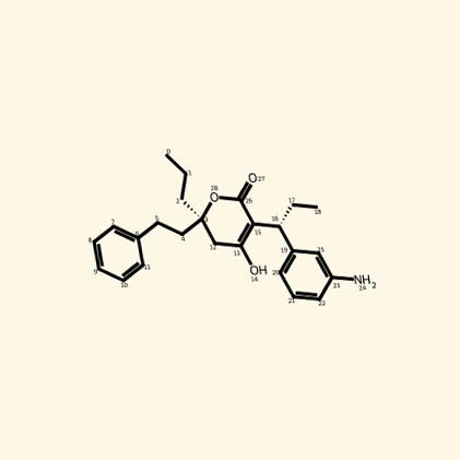 CCC[C@@]1(CCc2ccccc2)CC(O)=C([C@H](CC)c2cccc(N)c2)C(=O)O1